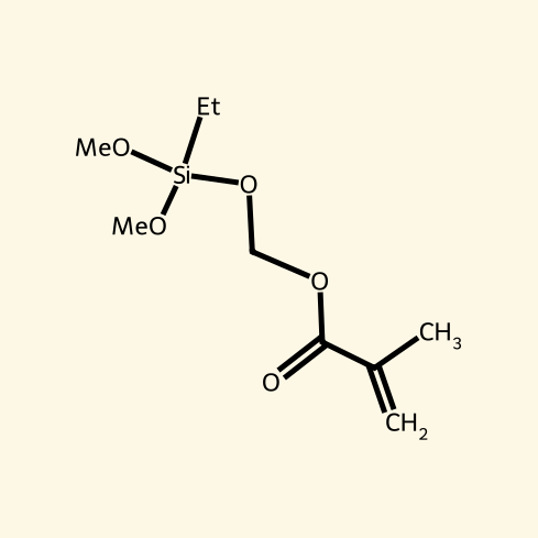 C=C(C)C(=O)OCO[Si](CC)(OC)OC